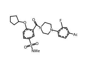 CNS(=O)(=O)c1ccc(OC2CCCC2)c(C(=O)N2CCN(c3ccc(C(C)=O)cc3F)CC2)c1